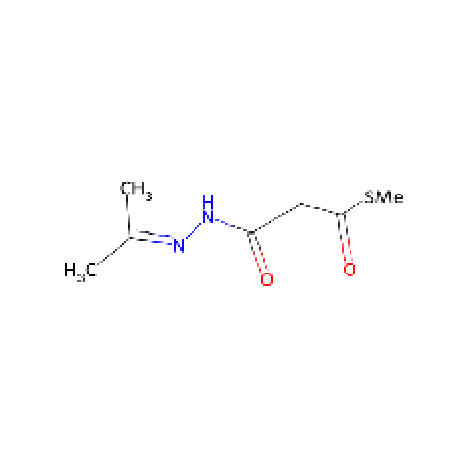 CSC(=O)CC(=O)NN=C(C)C